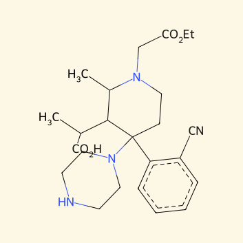 CCOC(=O)CN1CCC(c2ccccc2C#N)(N2CCNCC2)C(C(C)C(=O)O)C1C